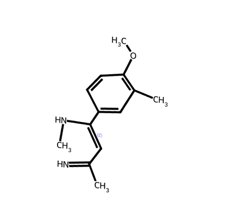 CN/C(=C\C(C)=N)c1ccc(OC)c(C)c1